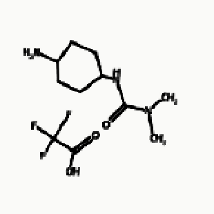 CN(C)C(=O)NC1CCC(N)CC1.O=C(O)C(F)(F)F